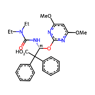 CCN(CC)C(=O)N[C@H](Oc1nc(OC)cc(OC)n1)C(C(=O)O)(c1ccccc1)c1ccccc1